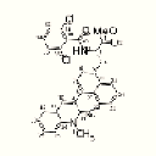 COC(=O)[C@H](Cc1ccc(-c2cc3ccccc3n(C)c2=O)c2ccccc12)NC(=O)c1c(Cl)cccc1Cl